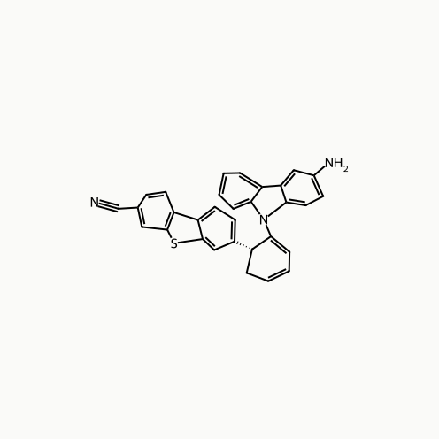 N#Cc1ccc2c(c1)sc1cc([C@H]3CC=CC=C3n3c4ccccc4c4cc(N)ccc43)ccc12